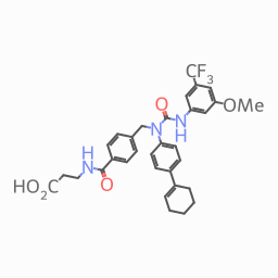 COc1cc(NC(=O)N(Cc2ccc(C(=O)NCCC(=O)O)cc2)c2ccc(C3=CCCCC3)cc2)cc(C(F)(F)F)c1